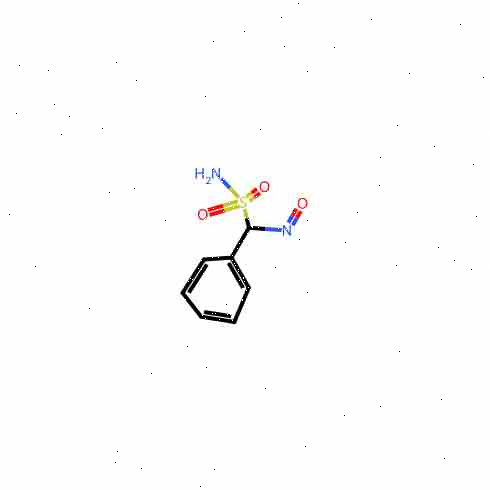 NS(=O)(=O)C(N=O)c1ccccc1